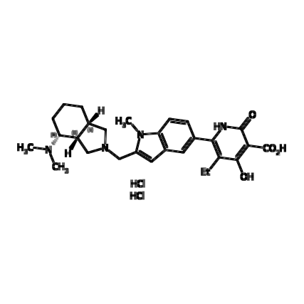 CCc1c(-c2ccc3c(c2)cc(CN2C[C@H]4CCC[C@@H](N(C)C)[C@H]4C2)n3C)[nH]c(=O)c(C(=O)O)c1O.Cl.Cl